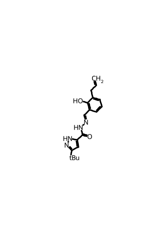 C=CCc1cccc(/C=N/NC(=O)c2cc(C(C)(C)C)n[nH]2)c1O